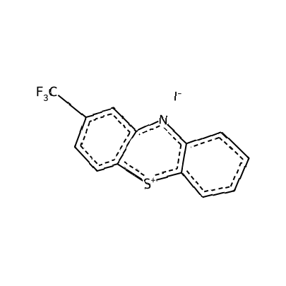 FC(F)(F)c1ccc2[s+]c3ccccc3nc2c1.[I-]